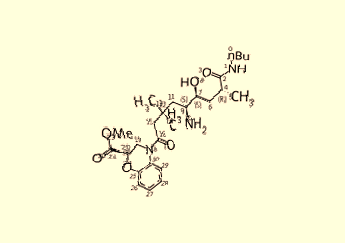 CCCCNC(=O)[C@H](C)C[C@H](O)[C@@H](N)CC(C)(C)CC(=O)N1C[C@H](C(=O)OC)Oc2ccccc21